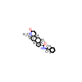 CN1C(=O)C=C[C@]2(C)[C@H]3CC[C@]4(C)[C@@H](C(=O)NC(C)(c5ccccc5)C(F)(F)F)CC[C@H]4[C@@H]3CC[C@@H]12